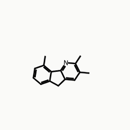 Cc1cc2c(nc1C)-c1c(C)cccc1C2